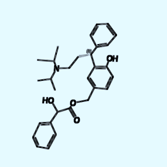 CC(C)N(CC[C@H](c1ccccc1)c1cc(COC(=O)C(O)c2ccccc2)ccc1O)C(C)C